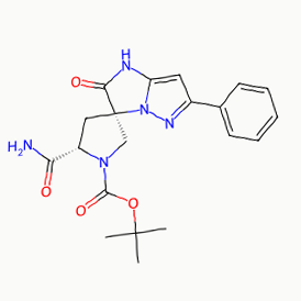 CC(C)(C)OC(=O)N1C[C@]2(C[C@H]1C(N)=O)C(=O)Nc1cc(-c3ccccc3)nn12